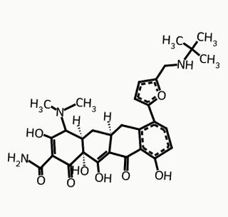 CN(C)C1C(O)=C(C(N)=O)C(=O)[C@]2(O)C(O)=C3C(=O)c4c(O)ccc(-c5ccc(CNC(C)(C)C)o5)c4C[C@@H]3C[C@H]12